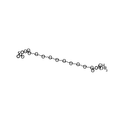 CN(C)c1ccc(C(=O)OCCCCOCCCCOCCCCOCCCCOCCCCOCCCCOCCCCOCCCCOCCCCOC(=O)COc2ccc3sc4ccccc4c(=O)c3c2)cc1